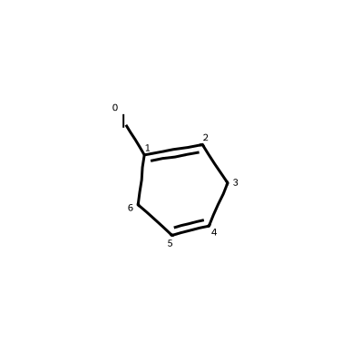 IC1=CCC=CC1